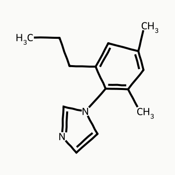 CCCc1cc(C)cc(C)c1-n1ccnc1